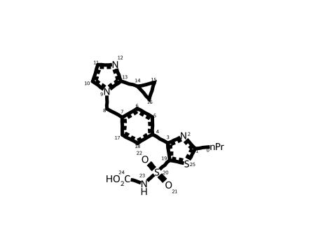 CCCc1nc(-c2ccc(Cn3ccnc3C3CC3)cc2)c(S(=O)(=O)NC(=O)O)s1